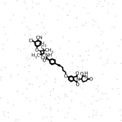 CC1(C)[C@H](NC(=O)c2ccc(C#CCCCOc3ccc4c(c3)C(=O)N(C3CCC(=O)NC3=O)C4=O)cc2)C(C)(C)[C@H]1Oc1ccc(C#N)c(Cl)c1